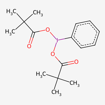 CC(C)(C)C(=O)OI(OC(=O)C(C)(C)C)c1ccccc1